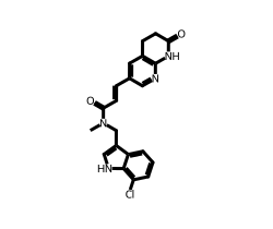 CN(Cc1c[nH]c2c(Cl)cccc12)C(=O)/C=C/c1cnc2c(c1)CCC(=O)N2